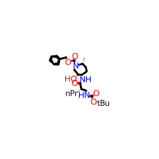 CCC[C@@H](CNC(=O)OC(C)(C)C)C(=O)N[C@H]1CC[C@@H](C)N(C(=O)OCc2ccccc2)C[C@@H]1O